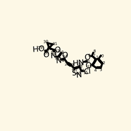 Cc1ccccc1C(C)OC(=O)Nc1c(Cl)nsc1C#Cc1nc2nc(C3(C(=O)O)CC3)oc2o1